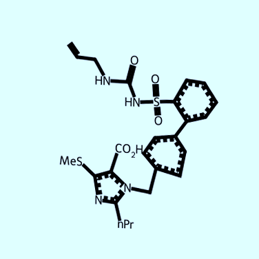 C=CCNC(=O)NS(=O)(=O)c1ccccc1-c1ccc(Cn2c(CCC)nc(SC)c2C(=O)O)cc1